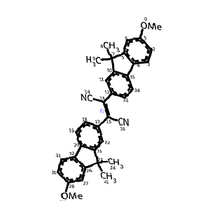 COc1ccc2c(c1)C(C)(C)c1cc(/C(C#N)=C(\C#N)c3ccc4c(c3)C(C)(C)c3cc(OC)ccc3-4)ccc1-2